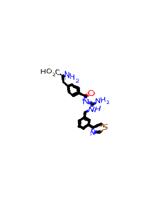 N/C(=N\C(=O)c1ccc(C[C@H](N)C(=O)O)cc1)NCc1cccc(-c2cscn2)c1